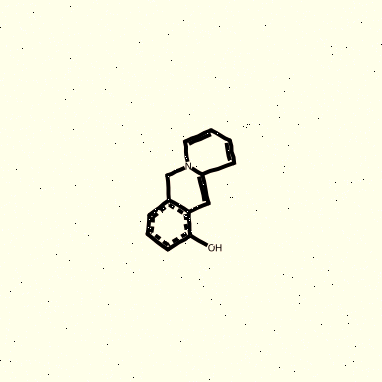 Oc1cccc2c1C=C1C=CC=CN1C2